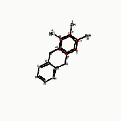 Oc1cc2c(c(O)c1O)C1c3ccccc3C2c2ccccc21